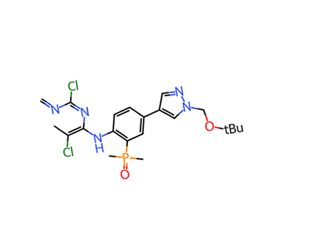 C=N/C(Cl)=N\C(Nc1ccc(-c2cnn(COC(C)(C)C)c2)cc1P(C)(C)=O)=C(/C)Cl